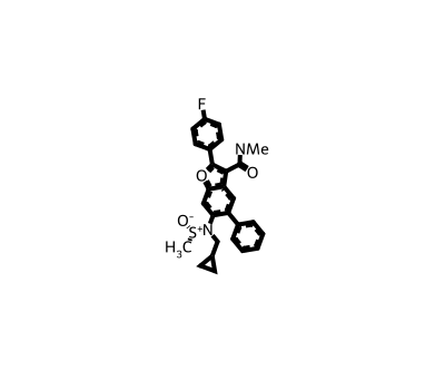 CNC(=O)c1c(-c2ccc(F)cc2)oc2cc(N(CC3CC3)[S+](C)[O-])c(-c3ccccc3)cc12